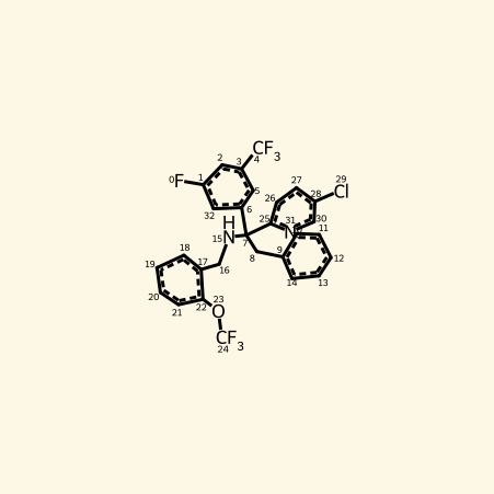 Fc1cc(C(F)(F)F)cc(C(Cc2ccccc2)(NCc2ccccc2OC(F)(F)F)c2ccc(Cl)cn2)c1